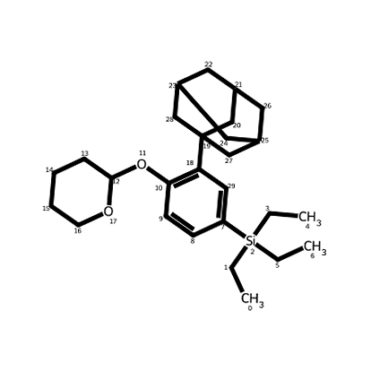 CC[Si](CC)(CC)c1ccc(OC2CCCCO2)c(C23CC4CC(CC(C4)C2)C3)c1